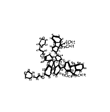 CCCCCCCCC1(CCCCCCCC)c2ccccc2-c2ccc(-c3ccc4c(c3)C(c3ccc(OCCN5CCOCC5)cc3)(c3ccc(OCCN5CCOCC5)cc3)c3cccc(-c5ccc6c(c5)C(CCCCCCCC)(CCCCCCCC)c5ccccc5-6)c3-4)cc21